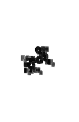 CC1(C)CC(=O)c2c(C(F)(F)F)nn(-c3ccc(C(N)=O)c(N[C@H]4CCC[C@H]4O)c3)c2C1